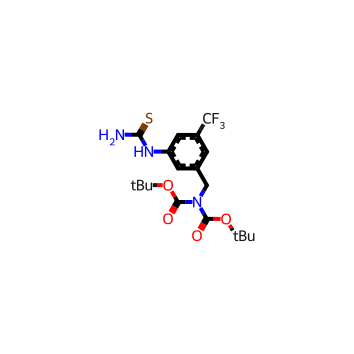 CC(C)(C)OC(=O)N(Cc1cc(NC(N)=S)cc(C(F)(F)F)c1)C(=O)OC(C)(C)C